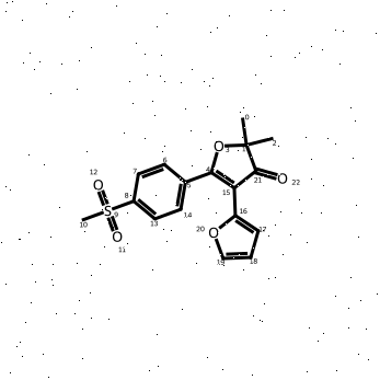 CC1(C)OC(c2ccc(S(C)(=O)=O)cc2)=C(c2ccco2)C1=O